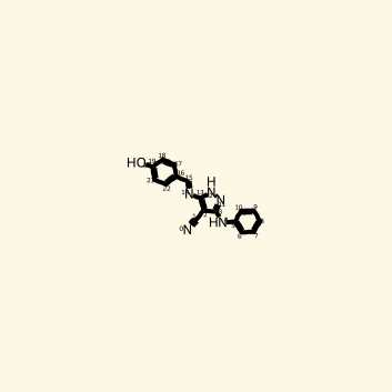 N#Cc1c(Nc2ccccc2)n[nH]c1/N=C/c1ccc(O)cc1